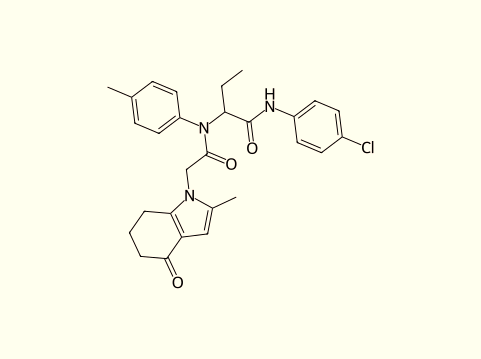 CCC(C(=O)Nc1ccc(Cl)cc1)N(C(=O)Cn1c(C)cc2c1CCCC2=O)c1ccc(C)cc1